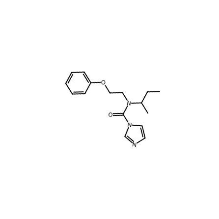 CCC(C)N(CCOc1ccccc1)C(=O)n1ccnc1